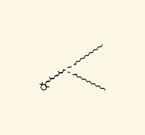 CCCCCCCCCCCCCC(=O)COCN(CCOC(=O)CCCCCCCCCCCCC)C(=O)/C=C(C)/C=C/C=C(C)/C=C/C1=C(C)CCCC1(C)C